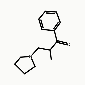 CC(CN1CCCC1)C(=O)c1ccccc1